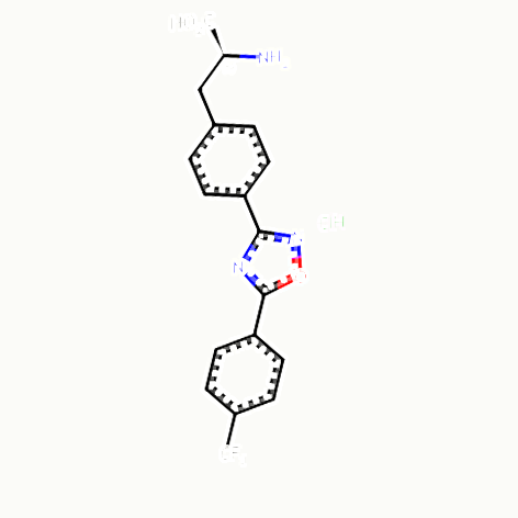 Cl.N[C@@H](Cc1ccc(-c2noc(-c3ccc(C(F)(F)F)cc3)n2)cc1)C(=O)O